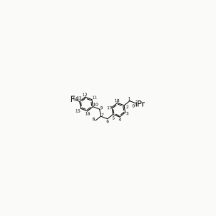 CC(C)Cc1ccc(CC(C)Cc2ccc(F)cc2)cc1